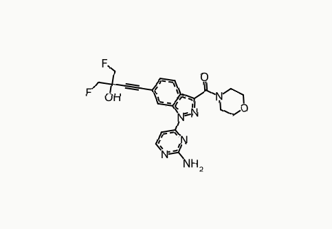 Nc1nccc(-n2nc(C(=O)N3CCOCC3)c3ccc(C#CC(O)(CF)CF)cc32)n1